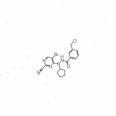 N#Cc1ncc(Br)c(N(NC(=O)c2cccc(CCl)c2)C2CCCC2)n1